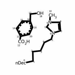 CCCCCCCCCCCCCCCN1C=CN(C)C1.O=C(O)c1ccc(CO)cc1